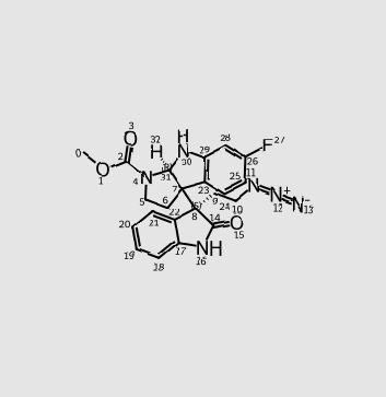 COC(=O)N1CCC2([C@@]3(CCN=[N+]=[N-])C(=O)Nc4ccccc43)c3ccc(F)cc3N[C@H]12